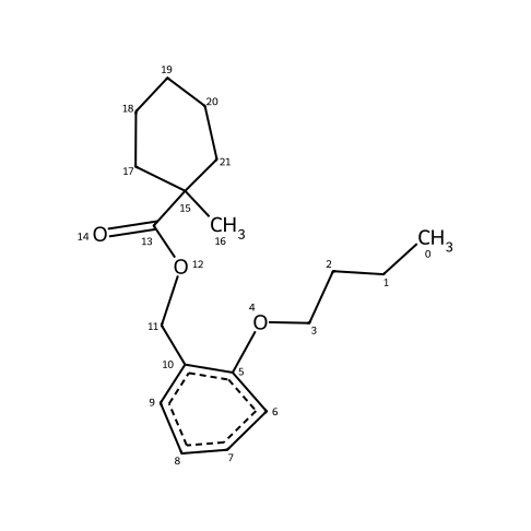 CCCCOc1ccccc1COC(=O)C1(C)CCCCC1